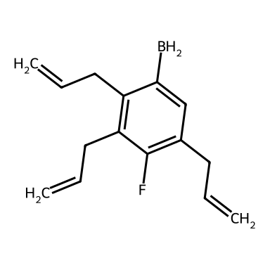 Bc1cc(CC=C)c(F)c(CC=C)c1CC=C